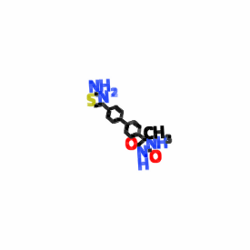 C[C@]1(c2ccc(-c3ccc(-c4csc(N)n4)cc3)cc2)NC(=O)NC1=O